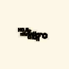 CCCC[C@@H](C(=O)N[C@H]1CC[C@@H]2CN(Cc3ccccc3)C[C@@H]21)N(C)C(=O)O